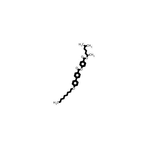 CCCCCCCCCOc1ccc(-c2ccc(C(=O)Oc3ccc(C(=O)O[C@H](C)CCCC(C)C)cc3)cc2)cc1